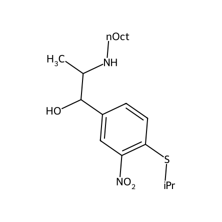 CCCCCCCCNC(C)C(O)c1ccc(SC(C)C)c([N+](=O)[O-])c1